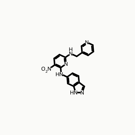 O=[N+]([O-])c1ccc(NCc2cccnc2)nc1Nc1ccc2cn[nH]c2c1